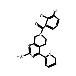 Cc1nc2c(c(C3=CC=CCN3)n1)CCN(C(=O)c1cccc(Cl)c1Cl)C2